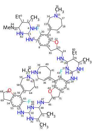 CCC1C(C)NC(Nc2cc3c(c(C4=CCN(C)CCC4)c2F)OC(CNC2NC(Nc4cc5c(c(C6=CCNCCC6)c4F)OC(CNC4NC(Nc6cc7c(c(C8=CCN(C)CCC8)c6F)OCC7)NC(C)C4C)C5)NC(C)C2CC)C3)NC1NC